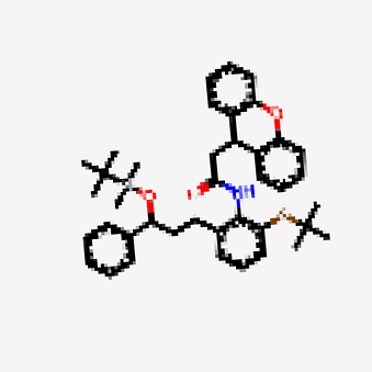 CC(C)(C)Sc1cccc(CCC(O[Si](C)(C)C(C)(C)C)c2ccccc2)c1NC(=O)CC1c2ccccc2Oc2ccccc21